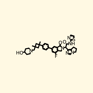 CC1(CN2CCC(O)CC2)CC(C)(c2ccc(-c3cc(F)c4c(c3)C(=O)N(C(C(=O)Nc3nccs3)c3ncn5c3CCC5)C4)cc2)C1